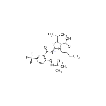 CCCCn1c(C(=O)O)c(C(C)C)s/c1=N\C(=O)c1cc(C(F)(F)F)ccc1ONC(C)(C)C